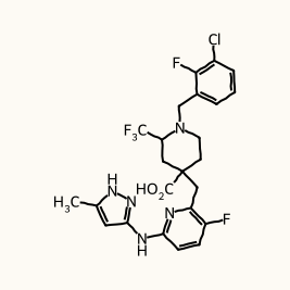 Cc1cc(Nc2ccc(F)c(CC3(C(=O)O)CCN(Cc4cccc(Cl)c4F)C(C(F)(F)F)C3)n2)n[nH]1